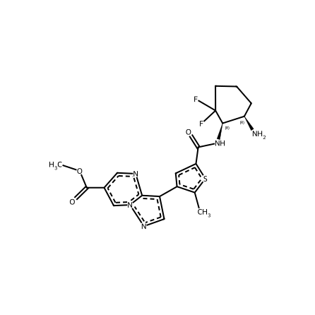 COC(=O)c1cnc2c(-c3cc(C(=O)N[C@@H]4[C@H](N)CCCC4(F)F)sc3C)cnn2c1